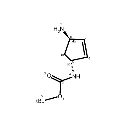 CC(C)(C)OC(=O)N[C@H]1C=C[C@H](N)C1